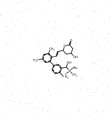 Cc1cc(C)c(/C=C/C2CC(O)CC(=O)O2)c(-c2ccc(F)c(C(O)[Si](C)(C)C(C)(C)C)c2)c1